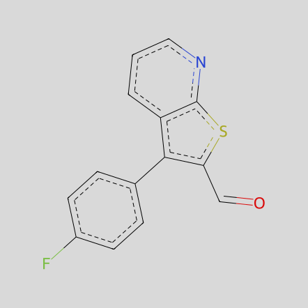 O=Cc1sc2ncccc2c1-c1ccc(F)cc1